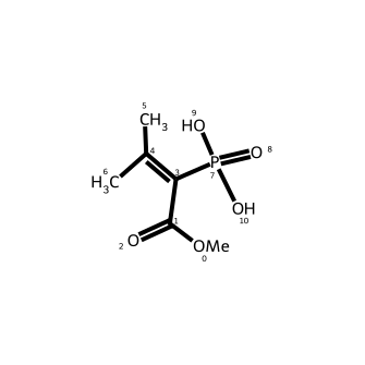 COC(=O)C(=C(C)C)P(=O)(O)O